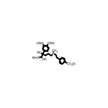 CCOC(=O)c1ccc(CCN(C)CCCC(C#N)(c2ccc(OC)c(OC)c2)C(O)OC)cc1